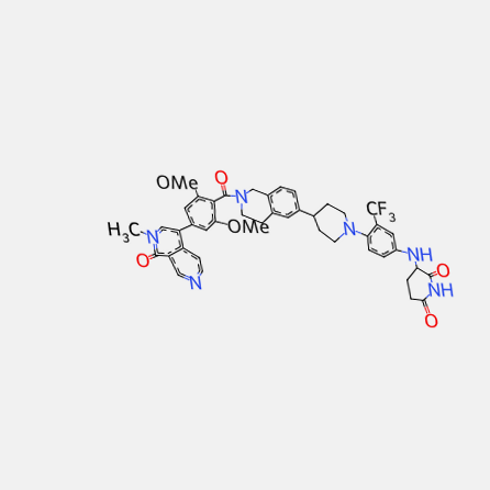 COc1cc(-c2cn(C)c(=O)c3cnccc23)cc(OC)c1C(=O)N1CCc2cc(C3CCN(c4ccc(NC5CCC(=O)NC5=O)cc4C(F)(F)F)CC3)ccc2C1